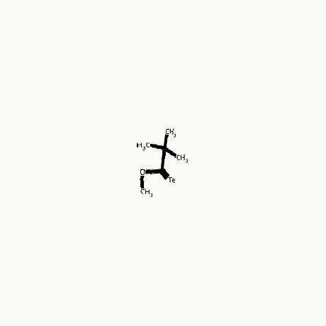 COC(=[Te])C(C)(C)C